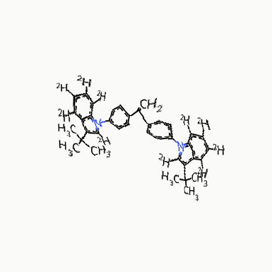 [2H]c1c([2H])c([2H])c2c(c1[2H])c(C(C)(C)C)c([2H])n2-c1ccc(C(=C)c2ccc(-n3c([2H])c(C(C)(C)C)c4c([2H])c([2H])c([2H])c([2H])c43)cc2)cc1